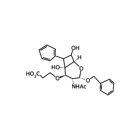 CC(=O)N[C@H]1[C@@H](OCc2ccccc2)O[C@@H]2C(O)C(c3ccccc3)[C@]2(O)[C@@H]1OCCC(=O)O